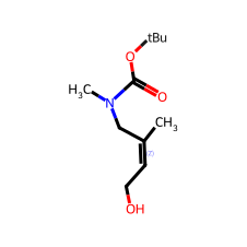 C/C(=C/CO)CN(C)C(=O)OC(C)(C)C